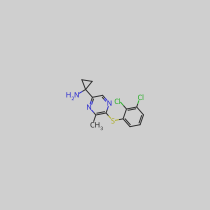 Cc1nc(C2(N)CC2)cnc1Sc1cccc(Cl)c1Cl